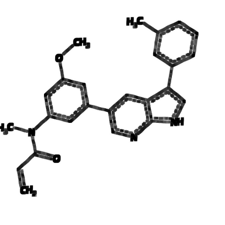 C=CC(=O)N(C)c1cc(OC)cc(-c2cnc3[nH]cc(-c4cccc(C)c4)c3c2)c1